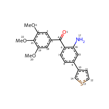 COc1cc(C(=O)c2ccc(-c3ccsc3)cc2N)cc(OC)c1OC